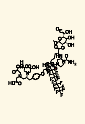 CO[C@H]1O[C@H](C(O)=C=O)[C@@H](O)[C@H](O)[C@@H]1OC(=O)[C@H](CCCCNC(=O)COc1ccc(CC(CN(CC(=O)O)CC(=O)O)N(CC(=O)O)CC(=O)O)cc1)NC1CN(S(=O)(=O)C(F)(F)C(F)(F)C(F)(F)C(F)(F)C(F)(F)C(F)(F)C(F)(F)C(F)(F)F)CCN1C(N)=O